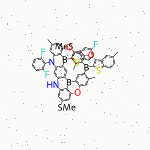 CSc1cc(C)c2c(c1)Oc1c(sc3ccc(C)cc13)B2c1cc2c(cc1C)Oc1cc(SC)cc3c1B2c1cc2c(cc1N3)N(c1c(F)cccc1F)c1cc(C)cc3c1B2c1sc2ccc(F)cc2c1O3